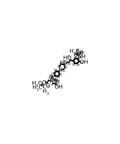 CC(C)(C)OC(=O)CN(CC(=O)O)S(=O)(=O)c1ccc(N2CCC(NC[C@H](O)c3ccc(O)c(NS(C)(=O)=O)c3)CC2)cc1